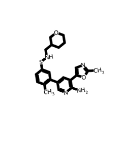 Cc1ncc(-c2cc(-c3cc(SNCC4CCCOC4)ccc3C)cnc2N)o1